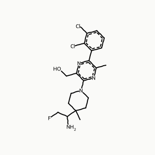 Cc1nc(N2CCC(C)(C(N)CF)CC2)c(CO)nc1-c1cccc(Cl)c1Cl